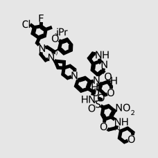 Cc1cc(CN2CCN(C3CC4(CCN(c5ccc(C(=O)NS(=O)(=O)c6cc7c(c([N+](=O)[O-])c6)N[C@H](C6CCOCC6)CO7)c(N6c7cc8cc[nH]c8nc7O[C@H]7COCC[C@@H]76)c5)CC4)C3)[C@H](c3ccccc3OC(C)C)C2)cc(Cl)c1F